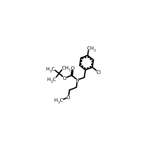 COCCN(Cc1ccc(C)cc1Cl)C(=O)OC(C)(C)C